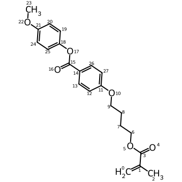 C=C(C)C(=O)OCCCCOc1ccc(C(=O)Oc2ccc(OC)cc2)cc1